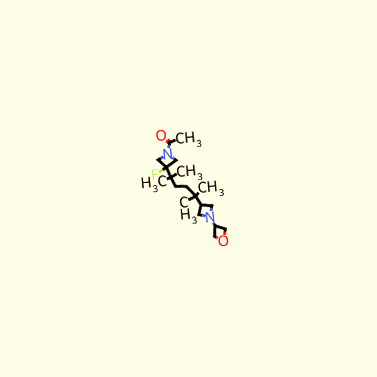 CC(=O)N1CC(F)(C(C)(C)CCC(C)(C)C2CN(C3COC3)C2)C1